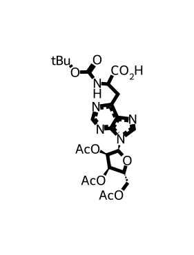 CC(=O)OC[C@H]1O[C@@H](n2cnc3c(CC(NC(=O)OC(C)(C)C)C(=O)O)ncnc32)[C@H](OC(C)=O)[C@@H]1OC(C)=O